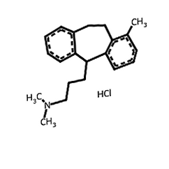 Cc1cccc2c1CCc1ccccc1C2CCCN(C)C.Cl